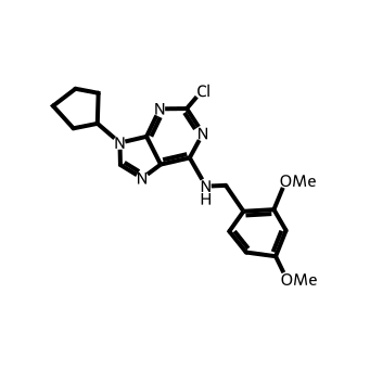 COc1ccc(CNc2nc(Cl)nc3c2ncn3C2CCCC2)c(OC)c1